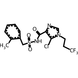 Cc1ccccc1CS(=O)(=O)NC(=O)c1ncn(CCC(F)(F)F)c1Cl